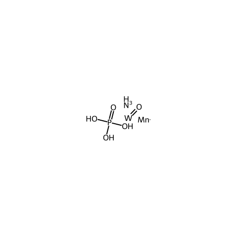 N.O=P(O)(O)O.[Mn].[O]=[W]